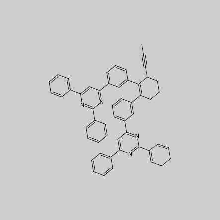 CC#CC1CCCC(c2cccc(-c3cc(-c4ccccc4)nc(C4=CCCC=C4)n3)c2)=C1c1cccc(-c2cc(-c3ccccc3)nc(-c3ccccc3)n2)c1